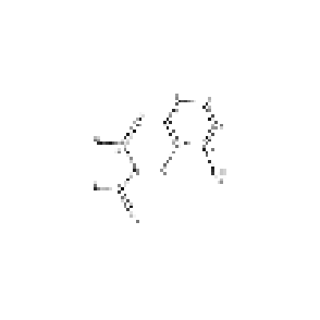 CC(=O)C(Cc1ccccc1O)C(C)=O